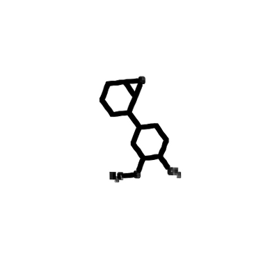 COC1CC(C2CCCC3OC32)CCC1C